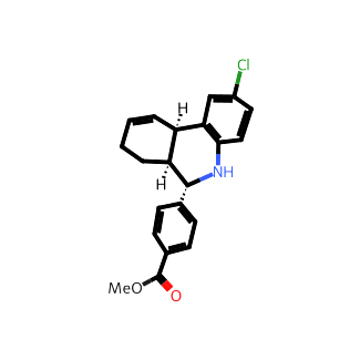 COC(=O)c1ccc([C@H]2Nc3ccc(Cl)cc3[C@@H]3C=CCC[C@H]23)cc1